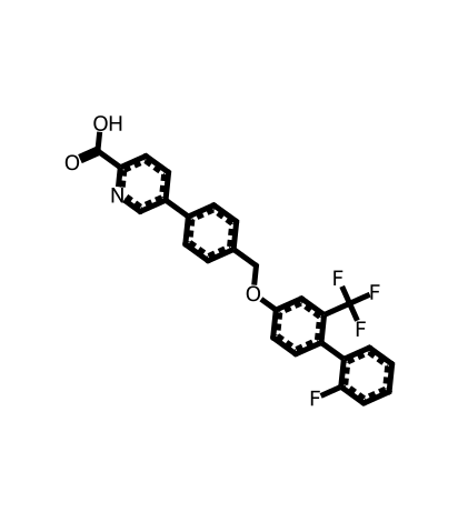 O=C(O)c1ccc(-c2ccc(COc3ccc(-c4ccccc4F)c(C(F)(F)F)c3)cc2)cn1